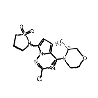 C[C@@H]1COCCN1c1nc(Cl)nn2c(N3CCCS3(=O)=O)ccc12